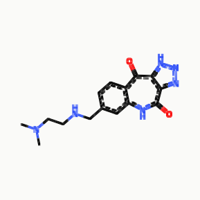 CN(C)CCNCc1ccc2c(=O)c3[nH]nnc3c(=O)[nH]c2c1